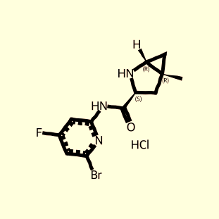 C[C@@]12C[C@@H](C(=O)Nc3cc(F)cc(Br)n3)N[C@@H]1C2.Cl